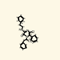 O=C(O)C(Cc1ccccc1)n1c(-c2ccccc2)c(Cl)nc(NCCc2ccccc2)c1=O